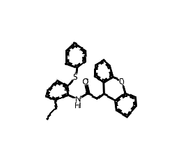 CCc1cccc(Sc2ccccc2)c1NC(=O)CC1c2ccccc2Oc2ccccc21